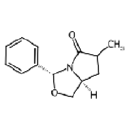 CC1C[C@H]2CO[C@H](c3ccccc3)N2C1=O